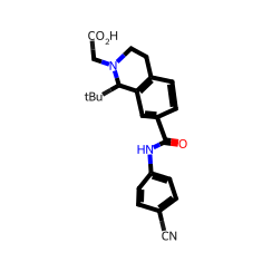 CC(C)(C)C1c2cc(C(=O)Nc3ccc(C#N)cc3)ccc2CCN1CC(=O)O